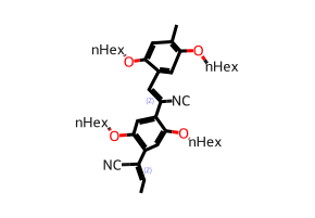 [C-]#[N+]/C(=C\c1cc(OCCCCCC)c(C)cc1OCCCCCC)c1cc(OCCCCCC)c(/C(C#N)=C/C)cc1OCCCCCC